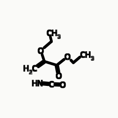 C=C(OCC)C(=O)OCC.N=C=O